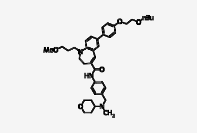 CCCCOCCOc1ccc(-c2ccc3c(c2)C=C(C(=O)Nc2ccc(CN(C)C4CCOCC4)cc2)CCN3CCCOC)cc1